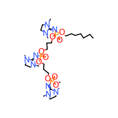 CCCCCCCOP(=O)(N=C1N(C)CCN1C)OCCCOP(=O)(N=C1N(C)CCN1C)OCCCOP(=O)(N=C1N(C)CCN1C)OC